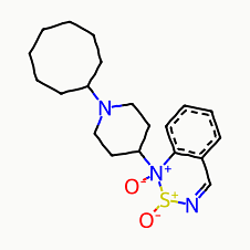 [O-][S+]1N=Cc2ccccc2[N+]1([O-])C1CCN(C2CCCCCCC2)CC1